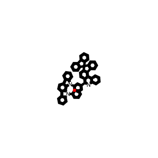 c1ccc(-n2c3ccccc3c3ccc4c5ccccc5n(-c5cccc(-c6nc7ccccc7c7c8c(ccc67)C6(c7ccccc7-c7ccccc76)c6ccccc6-8)c5)c4c32)cc1